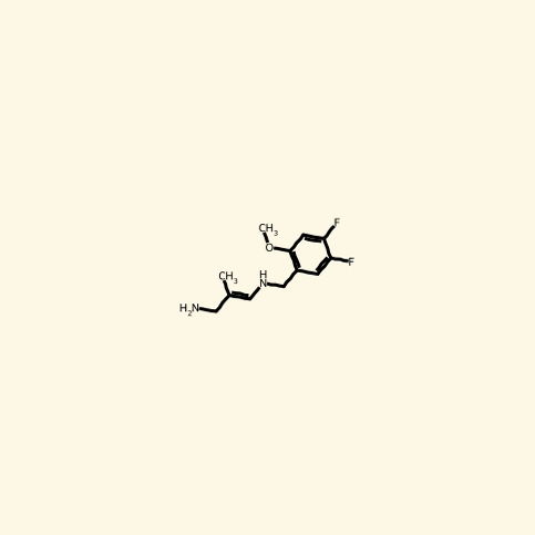 COc1cc(F)c(F)cc1CN/C=C(\C)CN